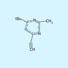 C#Cc1cc(C(C)(C)C)nc(C)n1